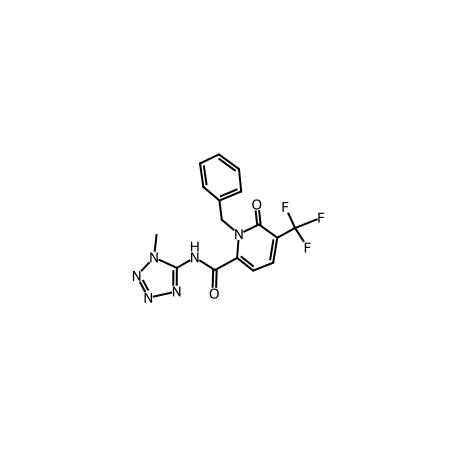 Cn1nnnc1NC(=O)c1ccc(C(F)(F)F)c(=O)n1Cc1ccccc1